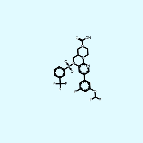 O=C(O)N1CCN2c3ncc(-c4cc(F)cc(OC(F)F)c4)cc3N(S(=O)(=O)c3cccc(C(F)(F)F)c3)CC2C1